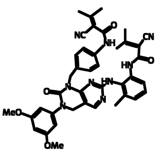 COc1cc(OC)cc(N2Cc3cnc(Nc4c(C)cccc4NC(=O)C(C#N)=C(C)C)nc3N(Cc3ccc(NC(=O)C(C#N)=C(C)C)cc3)C2=O)c1